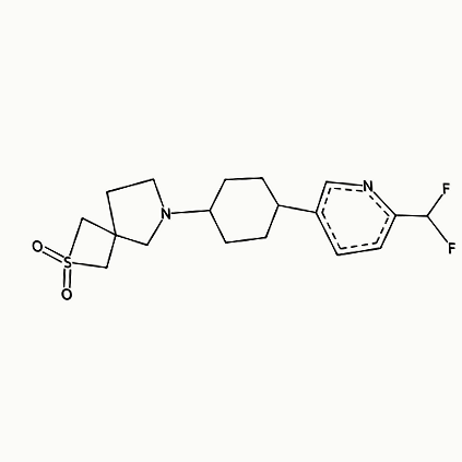 O=S1(=O)CC2(CCN(C3CCC(c4ccc(C(F)F)nc4)CC3)C2)C1